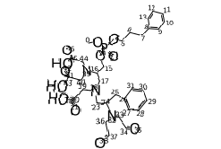 COP(=O)(OCCCc1ccccc1)OCC(CN(CC(=O)O)CC(Cc1ccccc1)N(CC=O)CC=O)N(CC(=O)O)CC(=O)O